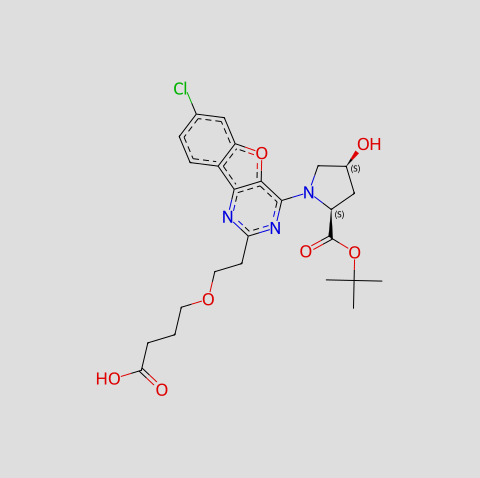 CC(C)(C)OC(=O)[C@@H]1C[C@H](O)CN1c1nc(CCOCCCC(=O)O)nc2c1oc1cc(Cl)ccc12